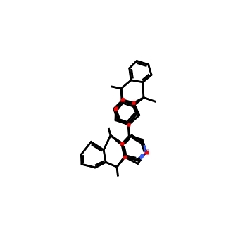 CC12c3ccccc3C(C)(c3ccccc31)c1cc(-c3cccc4c3C3(C)c5ccccc5C4(C)c4cnccc43)ccc12